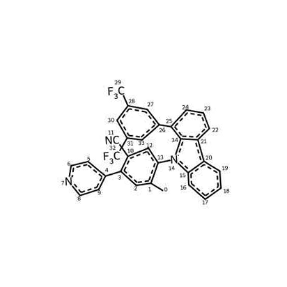 Cc1cc(-c2ccncc2)c(C#N)cc1-n1c2ccccc2c2cccc(-c3cc(C(F)(F)F)cc(C(F)(F)F)c3)c21